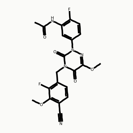 COc1c(C#N)ccc(Cn2c(=O)c(OC)nn(-c3ccc(F)c(NC(C)=O)c3)c2=O)c1F